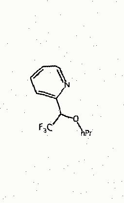 CCCOC(c1ccccn1)C(F)(F)F